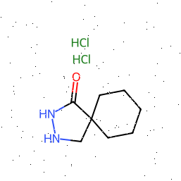 Cl.Cl.O=C1NNCC12CCCCC2